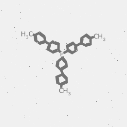 Cc1ccc(-c2ccc(P(c3ccc(-c4ccc(C)cc4)cc3)c3ccc(-c4ccc(C)cc4)cc3)cc2)cc1